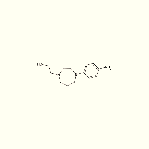 O=[N+]([O-])c1ccc(N2CCCN(CCO)CC2)cc1